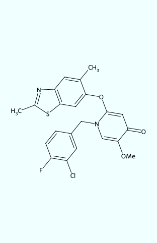 COc1cn(Cc2ccc(F)c(Cl)c2)c(Oc2cc3sc(C)nc3cc2C)cc1=O